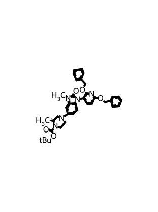 C[C@H]1CN(c2ccc3c(c2)n(C)c(=O)n3-c2ccc(OCc3ccccc3)nc2OCc2ccccc2)CCN1C(=O)OC(C)(C)C